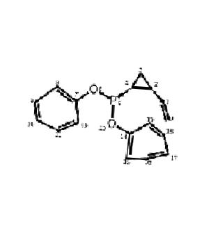 C=C[C@@H]1C[C@@H]1P(Oc1ccccc1)Oc1ccccc1